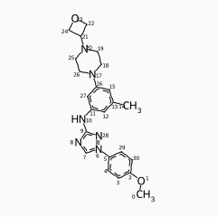 COc1ccc(-n2cnc(Nc3cc(C)cc(N4CCN(C5COC5)CC4)c3)n2)cc1